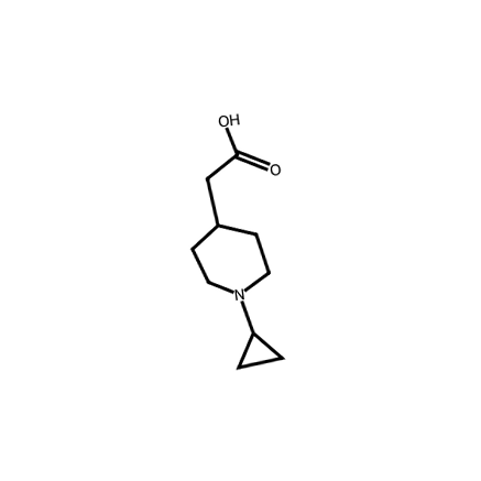 O=C(O)CC1CCN(C2CC2)CC1